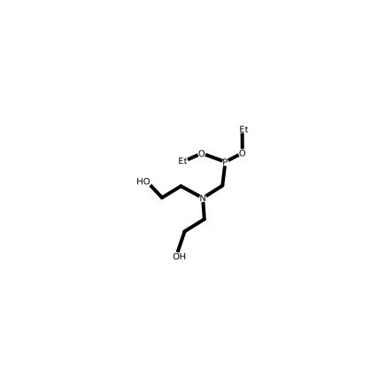 CCOP(CN(CCO)CCO)OCC